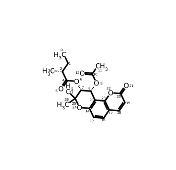 CC[C@@H](C)C(=O)O[C@@H]1[C@H](OC(C)=O)c2c(ccc3ccc(=O)oc23)OC1(C)C